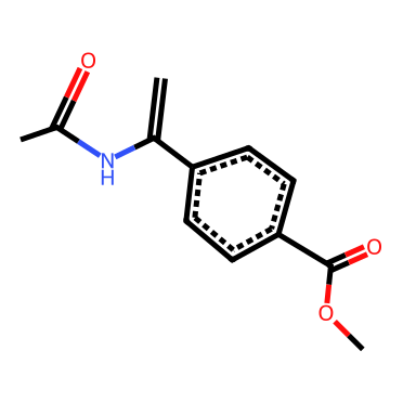 C=C(NC(C)=O)c1ccc(C(=O)OC)cc1